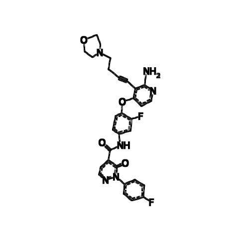 Nc1nccc(Oc2ccc(NC(=O)c3ccnn(-c4ccc(F)cc4)c3=O)cc2F)c1C#CCCN1CCOCC1